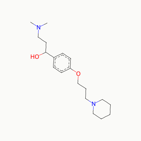 CN(C)CCC(O)c1ccc(OCCCN2CCCCC2)cc1